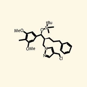 COc1cc([C@@H](O[Si](C)(C)C(C)(C)C)[C@@H](CCCc2ccccc2)Cn2cc(CCl)cn2)cc(OC)c1C